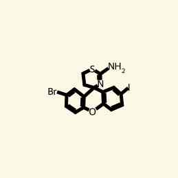 NC1=NC2(CCS1)c1cc(Br)ccc1Oc1ccc(I)cc12